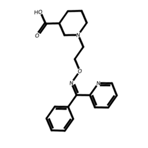 O=C(O)C1CCCN(CCON=C(c2ccccc2)c2ccccn2)C1